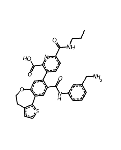 CCCNC(=O)c1ccc(-c2cc3c(cc2C(=O)Nc2cccc(CN)c2)-c2sccc2CCO3)c(C(=O)O)n1